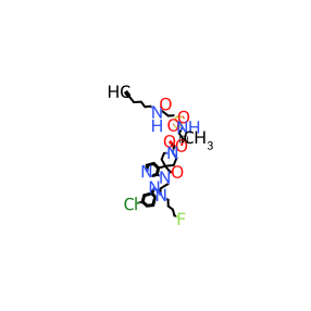 C#CCCCCNC(=O)CCS(=O)(=O)NC[C@@H](C)OC(=O)N1CCC2(CC1)C(=O)N(Cc1nc3cc(Cl)ccc3n1CCCCF)c1cnccc12